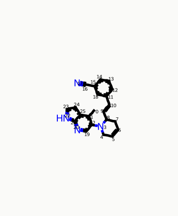 Cc1c(N2CC=CCC2C=Cc2cccc(C#N)c2)cnc2[nH]ccc12